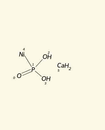 O=[P](O)(O)[Ni].[CaH2]